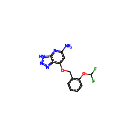 Nc1cc(OCc2ccccc2OC(F)F)c2nn[nH]c2n1